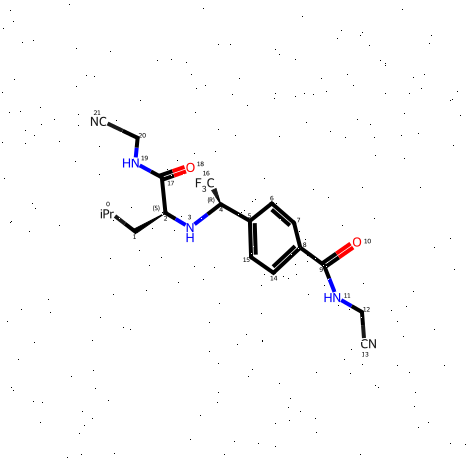 CC(C)C[C@H](N[C@H](c1ccc(C(=O)NCC#N)cc1)C(F)(F)F)C(=O)NCC#N